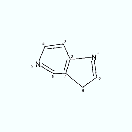 C1=Nc2ccncc2C1